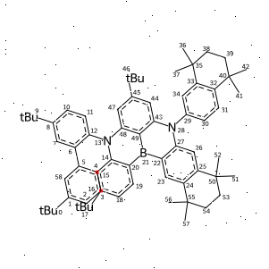 CC(C)(C)c1cccc(-c2cc(C(C)(C)C)ccc2N2c3cc(C(C)(C)C)ccc3B3c4cc5c(cc4N(c4ccc6c(c4)C(C)(C)CCC6(C)C)c4cc(C(C)(C)C)cc2c43)C(C)(C)CCC5(C)C)c1